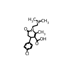 CC1=C(C(=O)O)C(c2ccc(Cl)cc2)CC(=O)N1CCN(C)C